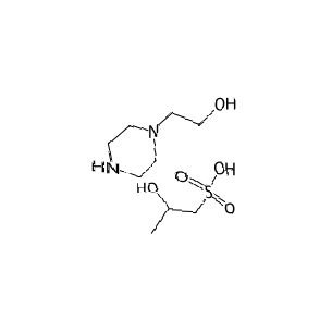 CC(O)CS(=O)(=O)O.OCCN1CCNCC1